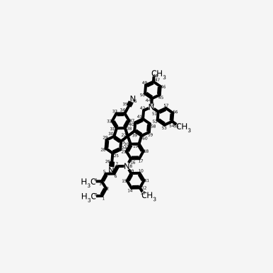 C\C=C/C(C)=C\C=C\N(c1ccc(C)cc1)c1ccc2c(c1)C1(c3cc(C#N)ccc3-c3ccc(C#N)cc31)c1cc(CN(c3ccc(C)cc3)c3ccc(C)cc3)ccc1-2